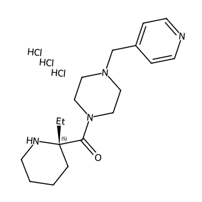 CC[C@@]1(C(=O)N2CCN(Cc3ccncc3)CC2)CCCCN1.Cl.Cl.Cl